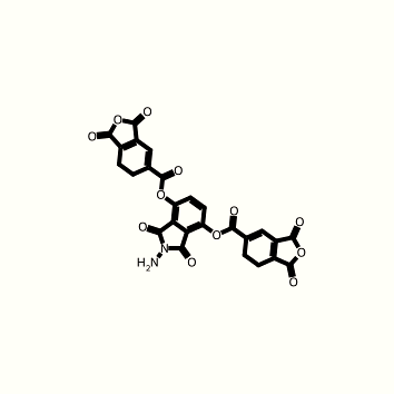 NN1C(=O)c2c(OC(=O)C3=CC4=C(CC3)C(=O)OC4=O)ccc(OC(=O)C3=CC4=C(CC3)C(=O)OC4=O)c2C1=O